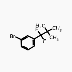 CC(C)(C)C(F)(F)c1cccc(Br)c1